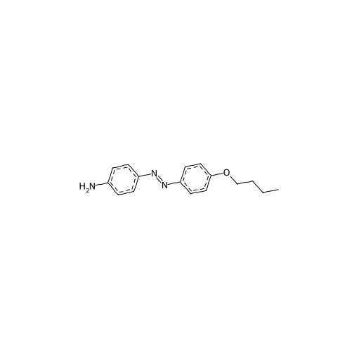 CCCCOc1ccc(/N=N/c2ccc(N)cc2)cc1